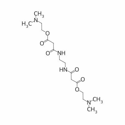 CN(C)CCOC(=O)CC(=O)NCCNC(=O)CC(=O)OCCN(C)C